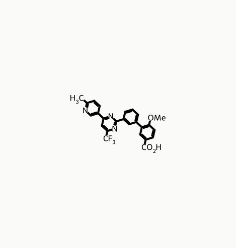 COc1ccc(C(=O)O)cc1-c1cccc(-c2nc(-c3ccc(C)nc3)cc(C(F)(F)F)n2)c1